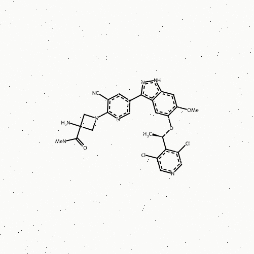 CNC(=O)C1(N)CN(c2ncc(-c3n[nH]c4cc(OC)c(O[C@H](C)c5c(Cl)cncc5Cl)cc34)cc2C#N)C1